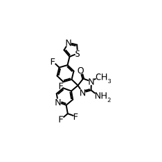 CN1C(=O)C(c2ccnc(C(F)F)c2)(c2cc(-c3cncs3)c(F)cc2F)N=C1N